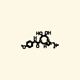 COc1ccc(NC(=O)N2CC(O)[C@@H](O)CN3[C@H](C[C@H]3CN(C)C)C2)cc1